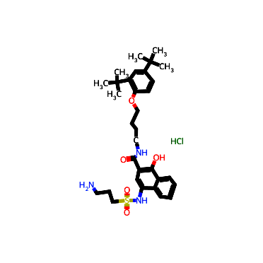 CC(C)(C)c1ccc(OCCCCNC(=O)c2cc(NS(=O)(=O)CCCN)c3ccccc3c2O)c(C(C)(C)C)c1.Cl